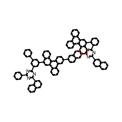 c1ccc(-c2cc(-c3nc(-c4ccccc4)nc(-c4cccc5ccccc45)n3)cc(-c3cc4c5ccccc5c5cc(-c6ccc7cc(-c8nc(-c9ccc%10ccccc%10c9)nc(-c9ccccc9-c9cc%10c%11ccccc%11c%11ccccc%11c%10c%10ccccc9%10)n8)ccc7c6)ccc5c4c4ccccc34)c2)cc1